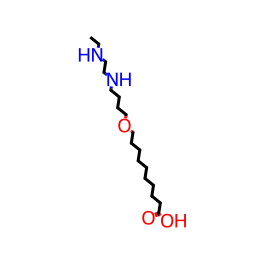 CCNCCNCCCCOCCCCCCCCCC(=O)O